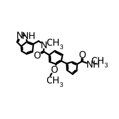 CCOc1cc(C(=O)N(C)Cc2cccc3cn[nH]c23)ccc1-c1cccc(C(=O)NC)c1